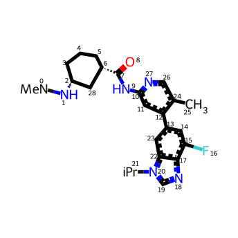 CNN[C@@H]1CCC[C@H](C(=O)Nc2cc(-c3cc(F)c4ncn(C(C)C)c4c3)c(C)cn2)C1